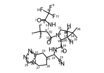 CC(C)(C)[C@H](NC(=O)C(F)(F)F)C(=O)N1C[C@H]2[C@@H]([C@H]1C(=O)NC(C#N)C1CCn3cnnc3C1)C2(C)C